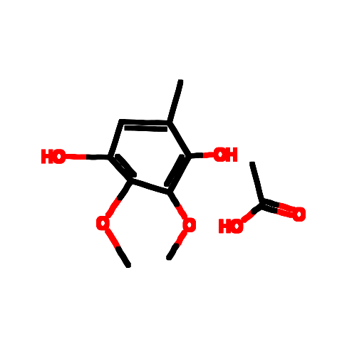 CC(=O)O.COc1c(O)cc(C)c(O)c1OC